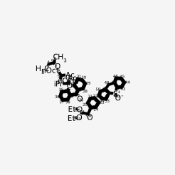 CC(=O)CC(C)C.CCC(C)=O.CCCCCCCCC(CCCCCCCC)C(C)=O.CCOC(OCC)C(=O)c1ccccc1.O=c1c2ccccc2oc2ccccc12.[O-][S+]1c2ccccc2Cc2ccccc21